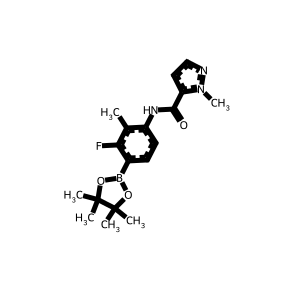 Cc1c(NC(=O)c2ccnn2C)ccc(B2OC(C)(C)C(C)(C)O2)c1F